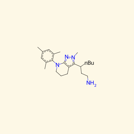 CCCCC(CCN)c1c2c(nn1C)N(c1c(C)cc(C)cc1C)CCC2